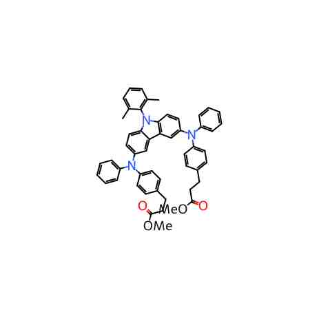 COC(=O)CCc1ccc(N(c2ccccc2)c2ccc3c(c2)c2cc(N(c4ccccc4)c4ccc(CCC(=O)OC)cc4)ccc2n3-c2c(C)cccc2C)cc1